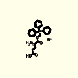 N[C@@H](CCC(=O)O)C(=O)OC[P+](c1ccccc1)(c1ccccc1)c1ccccc1.[Br-]